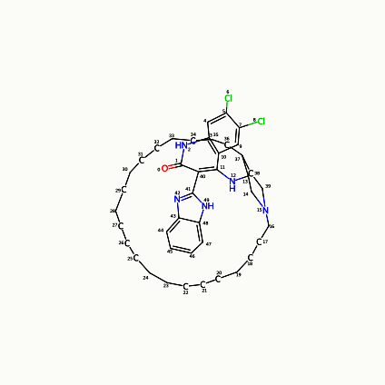 O=c1[nH]c2cc(Cl)c(Cl)cc2c(NC2CN3CCCCCCCCCCCCCCCCCCCCCC2CC3)c1-c1nc2ccccc2[nH]1